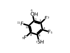 Oc1c(F)c(F)c(S)c(F)c1F